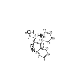 C=CCc1nnc2ccccc2c1C1CCC=CN1